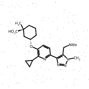 CNCc1c(-c2ccc(O[C@H]3CCC[C@](C)(C(=O)O)C3)c(C3CC3)n2)nnn1C